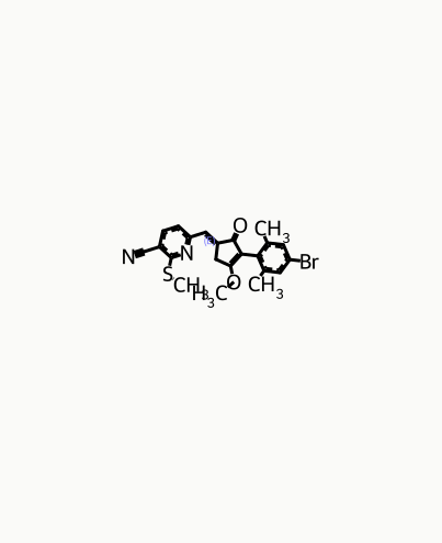 COC1=C(c2c(C)cc(Br)cc2C)C(=O)/C(=C/c2ccc(C#N)c(SC)n2)C1